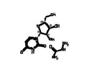 NNC(N)=O.O=c1ccn([C@@H]2O[C@H](CO)[C@@H](O)[C@H]2O)c(=O)[nH]1